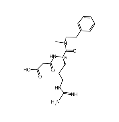 CN(CCc1ccccc1)C(=O)[C@@H](CCCNC(=N)N)NC(=O)CC(=O)O